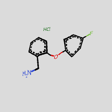 Cl.NCc1ccccc1Oc1ccc(F)cc1